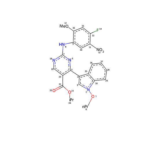 CCCOn1cc(-c2nc(Nc3cc([N+](=O)[O-])c(F)cc3OC)ncc2C(=O)OC(C)C)c2ccccc21